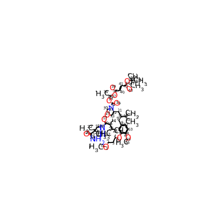 COCCCOc1cc(C[C@@H](C[C@H]2[C@H](C[C@H](C(=O)NCC(C)(C)C(N)=O)C(C)C)OCN2C(=O)OC(C)OC(=O)/C=C/C(=O)OC(C)(C)C)C(C)C)ccc1OC